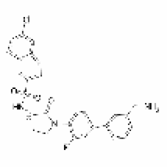 NCc1cccc(-c2ccc(N3CC[C@H](NS(=O)(=O)c4ccc5cc(Cl)ccc5c4)C3=O)c(F)c2)c1